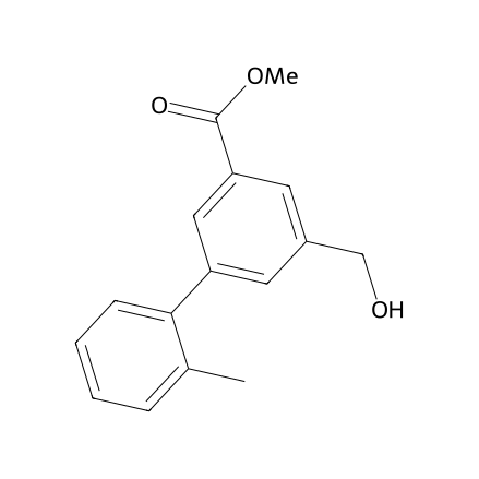 COC(=O)c1cc(CO)cc(-c2ccccc2C)c1